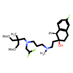 COCC(C)(COC)CN(CCCN(C)CC[C@@]1(O)CCc2cc(F)ccc2[C@@H]1C(C)C)CC(F)F